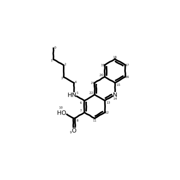 CCCCCNc1c(C(=O)O)ccc2nc3ccccc3cc12